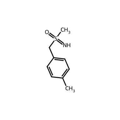 Cc1ccc(CS(C)(=N)=O)cc1